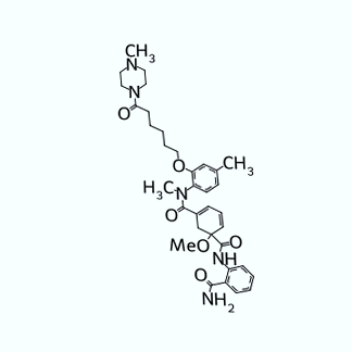 COC1(C(=O)Nc2ccccc2C(N)=O)C=CC=C(C(=O)N(C)c2ccc(C)cc2OCCCCCC(=O)N2CCN(C)CC2)C1